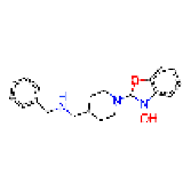 ON1c2ccccc2OC1N1CCC(CNCc2ccccc2)CC1